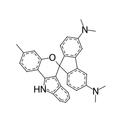 Cc1ccc2c(c1)OC1(c3ccc(N(C)C)cc3-c3cc(N(C)C)ccc31)c1c-2[nH]c2ccccc12